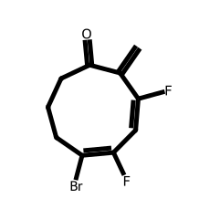 C=C1C(=O)CCC/C(Br)=C(F)\C=C/1F